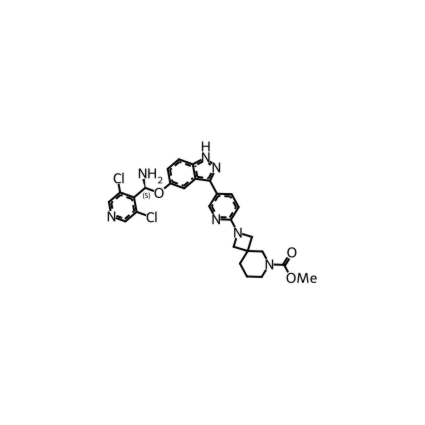 COC(=O)N1CCCC2(C1)CN(c1ccc(-c3n[nH]c4ccc(O[C@H](N)c5c(Cl)cncc5Cl)cc34)cn1)C2